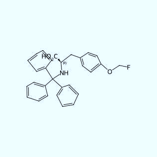 O=C(O)[C@@H](Cc1ccc(OCF)cc1)NC(c1ccccc1)(c1ccccc1)c1ccccc1